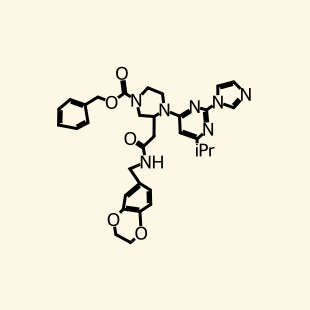 CC(C)c1cc(N2CCN(C(=O)OCc3ccccc3)CC2CC(=O)NCc2ccc3c(c2)OCCO3)nc(-n2ccnc2)n1